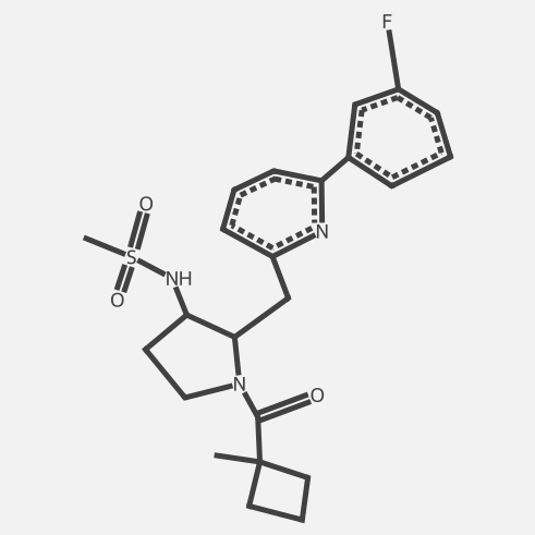 CC1(C(=O)N2CCC(NS(C)(=O)=O)C2Cc2cccc(-c3cccc(F)c3)n2)CCC1